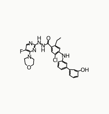 CCc1cc(Nc2cccc(-c3cccc(O)c3)c2)c(Cl)cc1C(=O)NNc1ncc(F)c(N2CCOCC2)n1